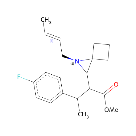 C/C=C/C[N@]1C(C(C(=O)OC)C(C)c2ccc(F)cc2)C12CCC2